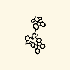 c1ccc(C2(c3ccccc3)c3ccccc3-c3ccc(-c4nc(-c5ccc6c(c5)-c5ccccc5C65c6ccccc6Oc6ccccc65)nc(C56CCC[C@@H](CC7CC(C7)C5)C6)n4)cc32)cc1